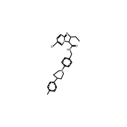 CCC1N=C2C=CC(Cl)=CN2C1C(=O)NCc1ccc(N2CCC(c3ccc(C)cc3)CC2)cc1